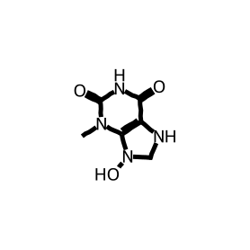 Cn1c2c(c(=O)[nH]c1=O)NCN2O